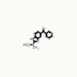 CN(C(=O)O)c1nc2cc(C(=O)c3cccnc3)ccc2[nH]1